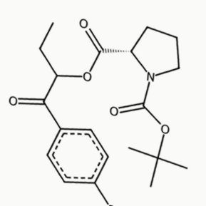 CCC(OC(=O)[C@@H]1CCCN1C(=O)OC(C)(C)C)C(=O)c1ccc(Br)cc1